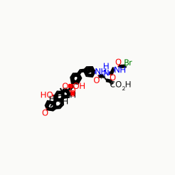 C[C@]12C=CC(=O)C=C1CC[C@@H]1[C@@H]2[C@@H](O)C[C@@]2(C)[C@H]1C[C@H]1O[C@@H](c3ccc(CC45CCC(NC(=O)[C@H](CCC(=O)O)NC(=O)CNC(=O)CBr)(CC4)CC5)cc3)O[C@]12C(=O)CO